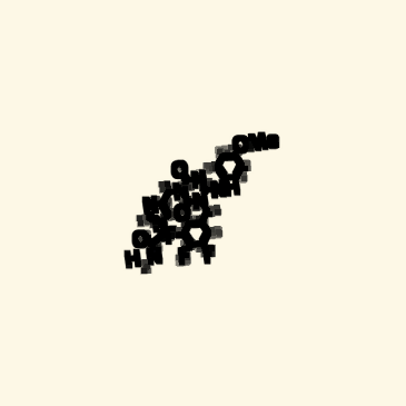 COc1ccc(Nc2nc(=O)n(Cc3cn(CC(N)=O)cn3)c(=O)n2Cc2cc(F)c(F)c(F)c2)cc1